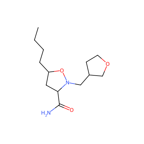 CCCCC1CC(C(N)=O)N(CC2CCOC2)O1